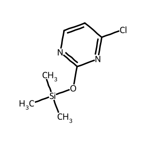 C[Si](C)(C)Oc1nccc(Cl)n1